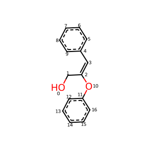 OC/C(=C\c1ccccc1)Oc1ccccc1